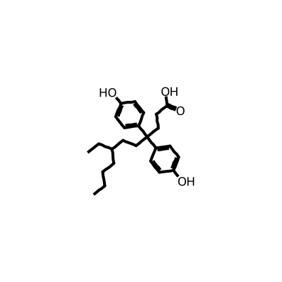 CCCCC(CC)CCC(CCC(=O)O)(c1ccc(O)cc1)c1ccc(O)cc1